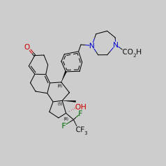 C[C@]12C[C@H](c3ccc(CN4CCCN(C(=O)O)CC4)cc3)C3=C4CCC(=O)C=C4CCC3C1CC[C@]2(O)C(F)(F)C(F)(F)F